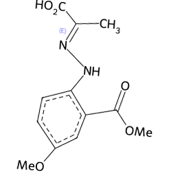 COC(=O)c1cc(OC)ccc1N/N=C(\C)C(=O)O